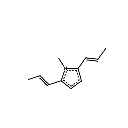 C/C=C/c1ccc(/C=C/C)n1C